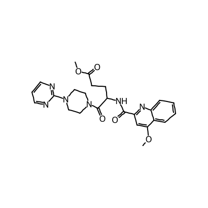 COC(=O)CCC(NC(=O)c1cc(OC)c2ccccc2n1)C(=O)N1CCN(c2ncccn2)CC1